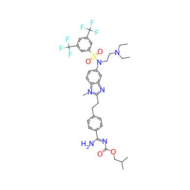 CCN(CC)CCN(c1ccc2c(c1)nc(CCc1ccc(C(N)=NC(=O)OCC(C)C)cc1)n2C)S(=O)(=O)c1cc(C(F)(F)F)cc(C(F)(F)F)c1